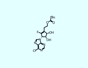 CC(C)(C)C(=O)OCCC1=C(F)[C@@H](n2cnc3c(Cl)ncnc32)[C@H](O)[C@@H]1O